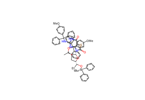 CCC(O[Si](c1ccccc1)(c1ccccc1)C(C)(C)C)[C@@H]1C[C@@H](C(C)OC(c2ccccc2)(c2ccccc2)c2ccc(OC)cc2)[C@H](n2c(=O)sc3c(=O)[nH]c(NC(c4ccccc4)(c4ccccc4)c4ccc(OC)cc4)nc32)O1